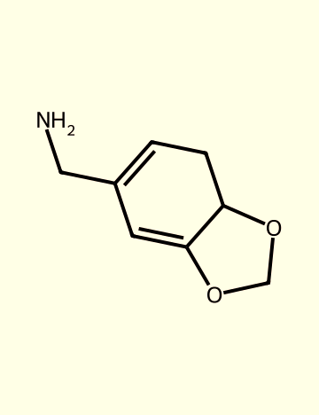 NCC1=CCC2OCOC2=C1